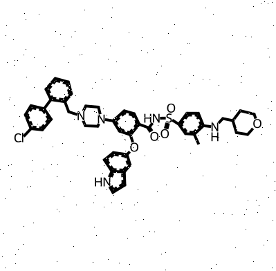 Cc1cc(S(=O)(=O)NC(=O)c2ccc(N3CCN(Cc4ccccc4-c4ccc(Cl)cc4)CC3)cc2Oc2ccc3[nH]ccc3c2)ccc1NCC1CCOCC1